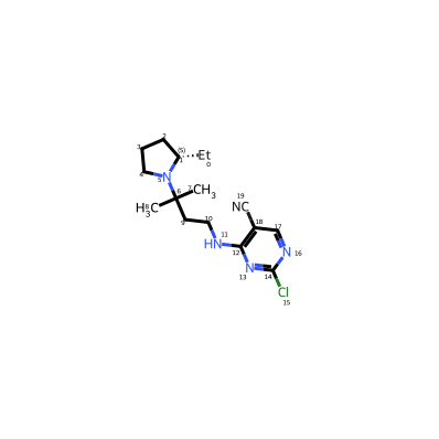 CC[C@H]1CCCN1C(C)(C)CCNc1nc(Cl)ncc1C#N